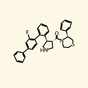 O=C([C@@H]1CNC[C@H]1c1ccccc1-c1ccc(-c2ccccc2)cc1F)N1CCSC[C@@H]1c1ccccc1